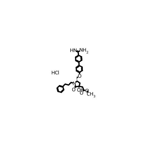 COC(=O)C[C@@]1(O)C[C@@H](COc2ccc(-c3ccc(C(=N)N)cc3)cc2)N(CCCc2ccccc2)C1=O.Cl